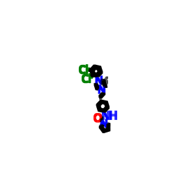 C[C@@H]1CN(CC[C@H]2CC[C@H](NC(=O)N3CCCC3)CC2)CCN1c1cccc(Cl)c1Cl